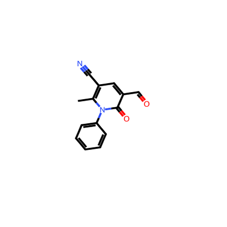 Cc1c(C#N)cc(C=O)c(=O)n1-c1ccccc1